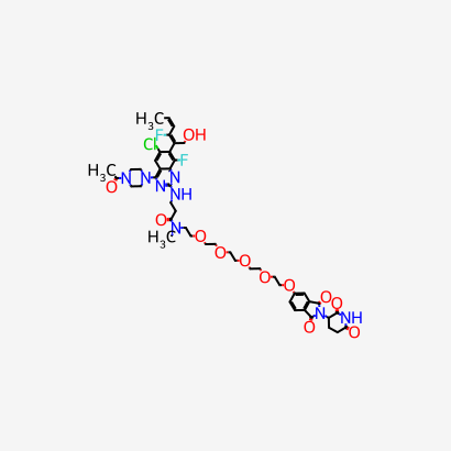 C/C=C\C(F)=C(/CO)c1c(Cl)cc2c(N3CCN(C(C)=O)CC3)nc(NCCC(=O)N(C)CCOCCOCCOCCOCCOc3ccc4c(c3)C(=O)N(C3CCC(=O)NC3=O)C4=O)nc2c1F